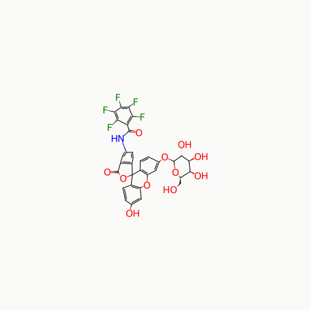 O=C1OC2(c3ccc(O)cc3Oc3cc(OC4O[C@H](CO)[C@H](O)[C@H](O)[C@H]4O)ccc32)c2ccc(NC(=O)c3c(F)c(F)c(F)c(F)c3F)cc21